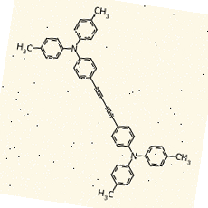 Cc1ccc(N(c2ccc(C)cc2)c2ccc(C#CC#Cc3ccc(N(c4ccc(C)cc4)c4ccc(C)cc4)cc3)cc2)cc1